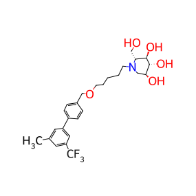 Cc1cc(-c2ccc(COCCCCCN3C[C@H](O)[C@@H](O)[C@H](O)[C@H]3CO)cc2)cc(C(F)(F)F)c1